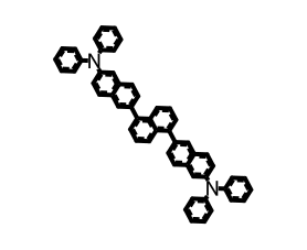 c1ccc(N(c2ccccc2)c2ccc3cc(-c4cccc5c(-c6ccc7cc(N(c8ccccc8)c8ccccc8)ccc7c6)cccc45)ccc3c2)cc1